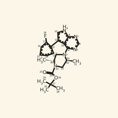 C[C@@H]1CN(c2ncnc3[nH]cc(-c4ccccc4F)c23)[C@@H](C)CN1C(=O)OC(C)(C)C